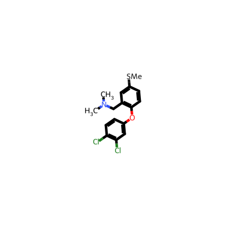 CSc1ccc(Oc2ccc(Cl)c(Cl)c2)c(CN(C)C)c1